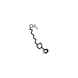 CCCCCCCCC1CCC(c2cccs2)CC1